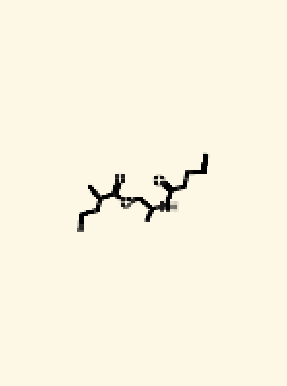 C=CCCC(=O)NC(C)COC(=O)C(C)CC=C